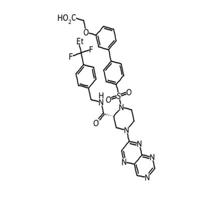 CCC(F)(F)c1ccc(CNC(=O)[C@H]2CN(c3cnc4cncnc4n3)CCN2S(=O)(=O)c2ccc(-c3cccc(OCC(=O)O)c3)cc2)cc1